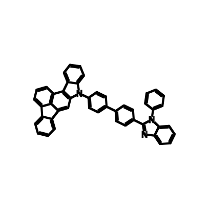 c1ccc(-n2c(-c3ccc(-c4ccc(-n5c6ccccc6c6c7cccc8c7c(cc65)-c5ccccc5-8)cc4)cc3)nc3ccccc32)cc1